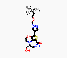 C[Si](C)(C)CCOCn1cc(-c2sc3c4c2OCCN4[C@H](CO)CNC3=O)cn1